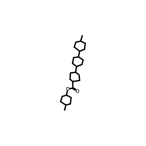 CC1CCC(OC(=O)C2CCC(C3CCC(C4CCC(C)CC4)CC3)CC2)CC1